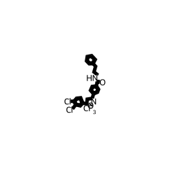 O=C(NCCCc1ccccc1)c1ccc(C2=NOC(c3ccc(Cl)c(Cl)c3)(C(F)(F)F)C2)cc1